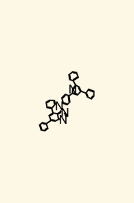 c1ccc(-c2cc(-c3ccccc3)nc(-c3ccc(N4c5ccccc5-c5cc(-c6ccccc6)cc6ncnc4c56)cc3)c2)cc1